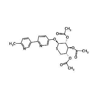 CC(=O)O[C@@H]1[C@@H](OC(C)=O)[C@H](OC(C)=O)CS[C@H]1Oc1ccc(-c2ccc(C)nc2)nc1